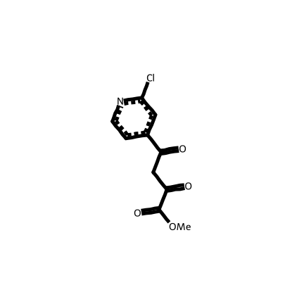 COC(=O)C(=O)CC(=O)c1ccnc(Cl)c1